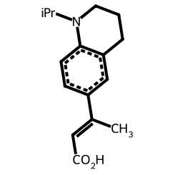 C/C(=C\C(=O)O)c1ccc2c(c1)CCCN2C(C)C